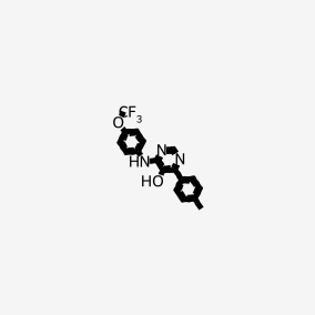 Cc1ccc(-c2ncnc(Nc3ccc(OC(F)(F)F)cc3)c2O)cc1